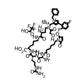 CC(C)[C@H](NC(=O)CCCCCN1C(=O)C=CC1=O)C(=O)N[C@@H](CCCNC(N)=O)C(=O)N[C@@H](CCCCNC(=O)[C@@H](N)CCN(C(=O)CO)[C@@H](c1cc(-c2cc(F)ccc2F)cn1Cc1ccccc1)C(C)(C)C)C(=O)O.O=C(O)C(F)(F)F